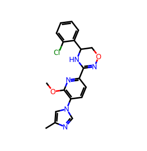 COc1nc(C2=NOCC(c3ccccc3Cl)N2)ccc1-n1cnc(C)c1